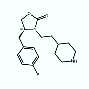 O=C1OC[C@H](Cc2ccc(F)cc2)N1CCC1CCNCC1